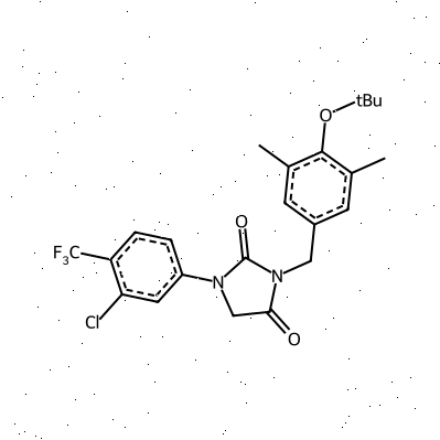 Cc1cc(CN2C(=O)CN(c3ccc(C(F)(F)F)c(Cl)c3)C2=O)cc(C)c1OC(C)(C)C